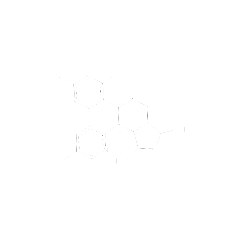 CC1OC(O)C2CCC(c3ccc(Cl)cc3Cl)C(c3ccc(Br)cn3)C12